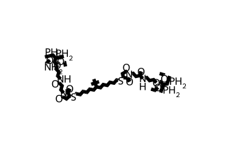 CCOC(C)(P)CC(COCCCNC(=O)CCN1C(=O)CC(SCCCCCCC(CCCCCCSC2CC(=O)N(CCC(=O)NCCCOCC(CC(C)(P)OCN)C(C)(P)OCC)C2=O)C(C)(C)C)C1=O)C(C)(P)OCC